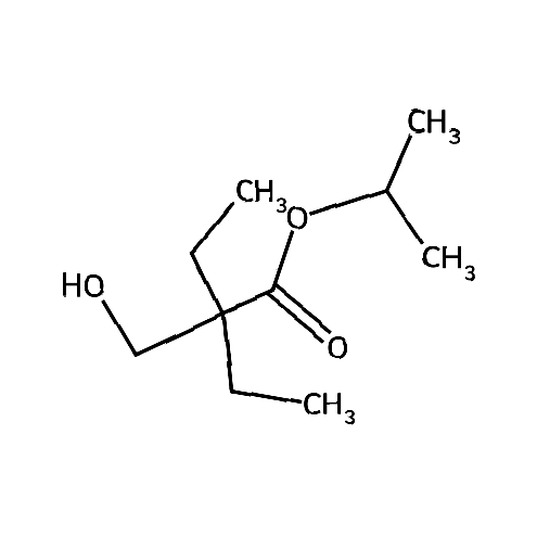 CCC(CC)(CO)C(=O)OC(C)C